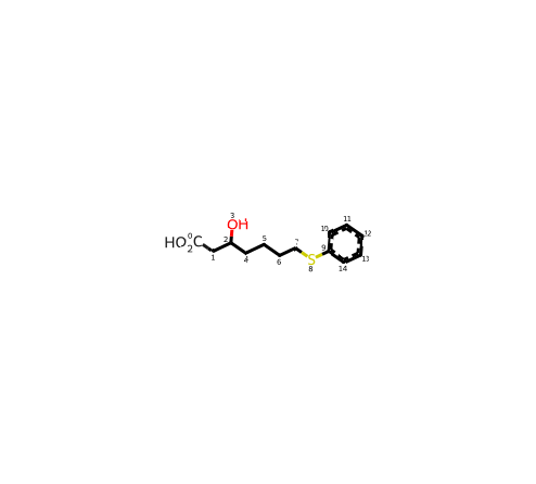 O=C(O)CC(O)CCCCSc1ccccc1